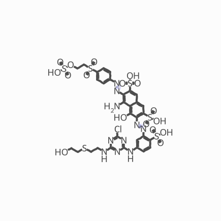 Nc1c(/N=N/c2ccc(S(=O)(=O)CCOS(=O)(=O)O)cc2)c(S(=O)(=O)O)cc2cc(S(=O)(=O)O)c(/N=N/c3cc(Nc4nc(Cl)nc(NCCSCCO)n4)ccc3S(=O)(=O)O)c(O)c12